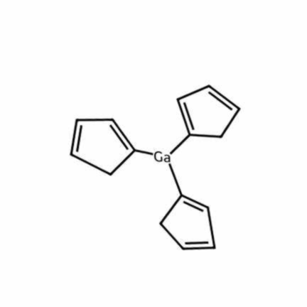 C1=CC[C]([Ga]([C]2=CC=CC2)[C]2=CC=CC2)=C1